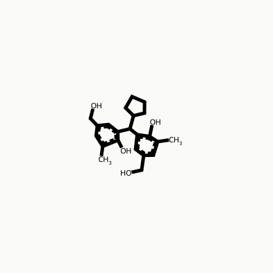 Cc1cc(CO)cc(C(c2cc(CO)cc(C)c2O)C2CCCC2)c1O